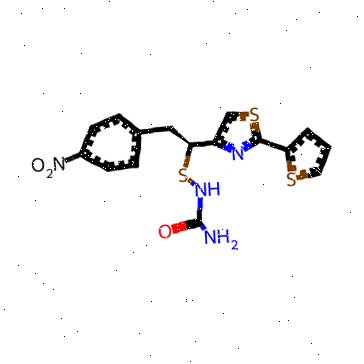 NC(=O)NS[C@@H](Cc1ccc([N+](=O)[O-])cc1)c1csc(-c2cccs2)n1